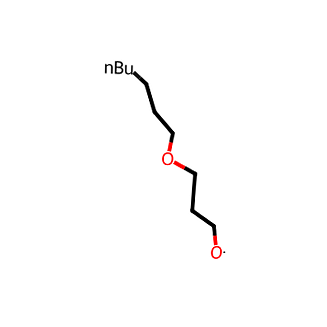 CCCCCCCOCCC[O]